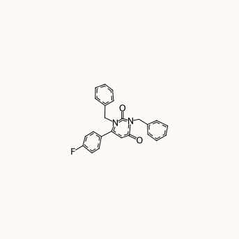 O=c1cc(-c2ccc(F)cc2)n(Cc2ccccc2)c(=O)n1Cc1ccccc1